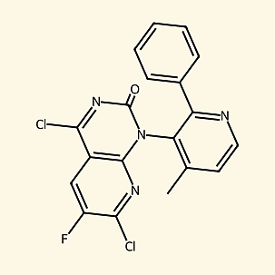 Cc1ccnc(-c2ccccc2)c1-n1c(=O)nc(Cl)c2cc(F)c(Cl)nc21